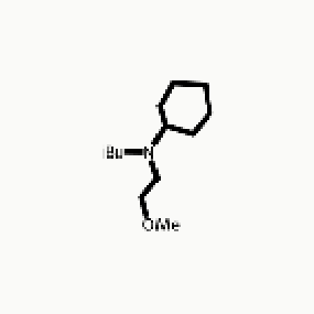 CCC(C)N(CCOC)C1CCCCC1